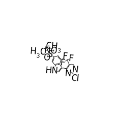 CN(C)S(=O)(=O)c1ccc2c(-c3nc(Cl)ncc3C(F)(F)F)c[nH]c2c1